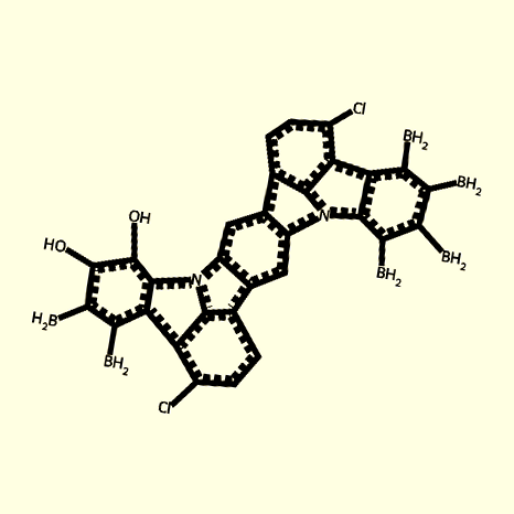 Bc1c(B)c(B)c2c(c1B)c1c(Cl)ccc3c4cc5c(cc4n2c31)c1ccc(Cl)c2c3c(B)c(B)c(O)c(O)c3n5c12